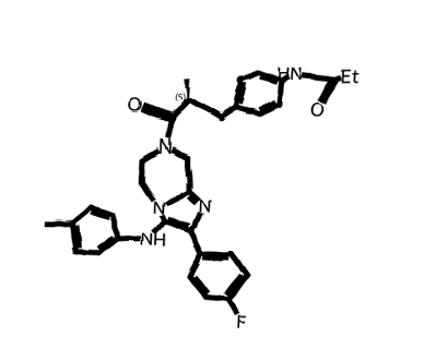 CCC(=O)Nc1ccc(C[C@H](C)C(=O)N2CCn3c(nc(-c4ccc(F)cc4)c3Nc3ccc(C)cc3)C2)cc1